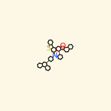 c1ccc(N(c2ccc(-c3cc4ccccc4c4ccccc34)cc2)c2ccc3c(c2)sc2ccccc23)c(-c2cccc3oc4c5ccccc5ccc4c23)c1